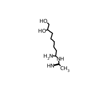 CC(=N)NC(N)CCCCCC(O)CO